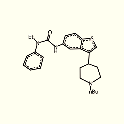 CCCCN1CCC(c2csc3ccc(NC(=O)N(CC)c4ccccc4)cc23)CC1